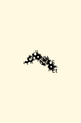 C=CC1CCN(C(=C)c2ccc(Nc3nccn4c(-c5ccc(CC)c(C)c5F)cnc34)cc2C)CC1